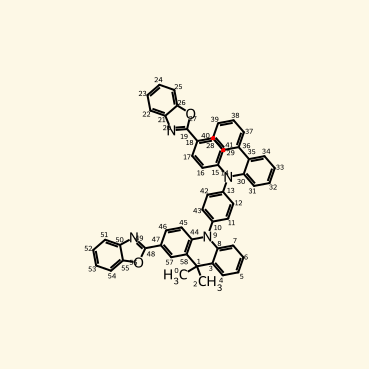 CC1(C)c2ccccc2N(c2ccc(N(c3ccc(-c4nc5ccccc5o4)cc3)c3ccccc3-c3ccccc3)cc2)c2ccc(-c3nc4ccccc4o3)cc21